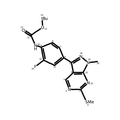 CSc1ncc2c(-c3ccc(NC(=O)OC(C)(C)C)c(F)c3)nn(C)c2n1